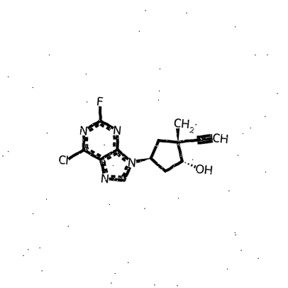 C#C[C@@]1([CH2])C[C@H](n2cnc3c(Cl)nc(F)nc32)C[C@H]1O